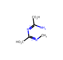 C/N=C(\N=C(/N)C(=O)O)C(=O)O